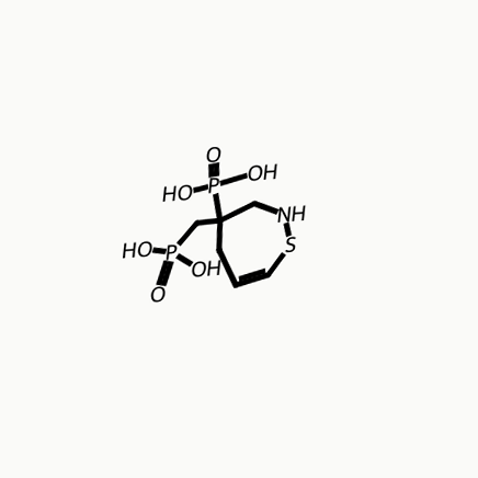 O=P(O)(O)CC1(P(=O)(O)O)CC=CSNC1